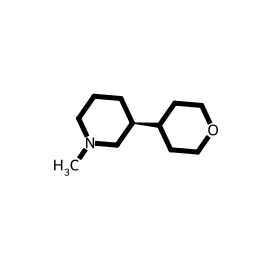 CN1CCC[C@@H](C2CCOCC2)C1